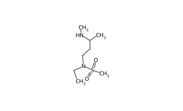 CCN(CCC(C)NC)S(C)(=O)=O